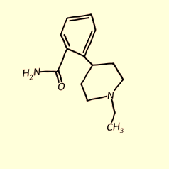 CCN1CCC(c2ccccc2C(N)=O)CC1